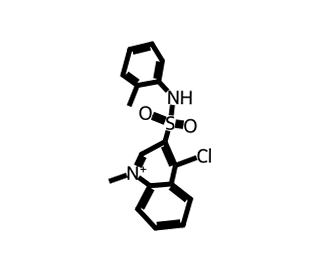 Cc1ccccc1NS(=O)(=O)c1c[n+](C)c2ccccc2c1Cl